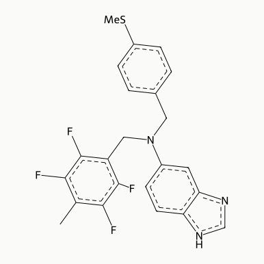 CSc1ccc(CN(Cc2c(F)c(F)c(C)c(F)c2F)c2ccc3[nH]cnc3c2)cc1